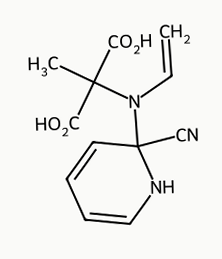 C=CN(C1(C#N)C=CC=CN1)C(C)(C(=O)O)C(=O)O